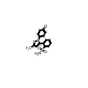 NS(=O)(=O)c1ccccc1-c1cc(C(F)(F)F)nn1-c1ccc(Cl)cc1